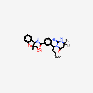 CCC1(CC)CC(=O)N(C(CCOC)c2cccc(C(=O)NC3c4ccccc4OC3(C)CO)c2)C(=N)N1